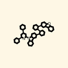 c1ccc(-c2cc(-c3ccccc3)nc(-n3c4ccccc4c4cc(-c5ccccc5-c5ccccc5-c5ccc6oc7ccccc7c6c5)ccc43)c2)cc1